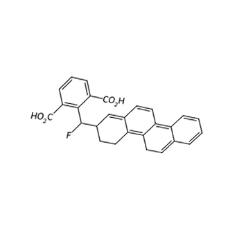 O=C(O)c1cccc(C(=O)O)c1C(F)C1C=c2ccc3c(c2CC1)CC=c1ccccc1=3